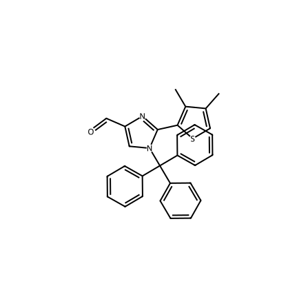 Cc1csc(-c2nc(C=O)cn2C(c2ccccc2)(c2ccccc2)c2ccccc2)c1C